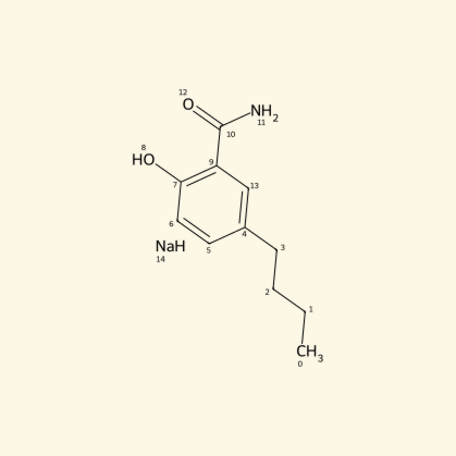 CCCCc1ccc(O)c(C(N)=O)c1.[NaH]